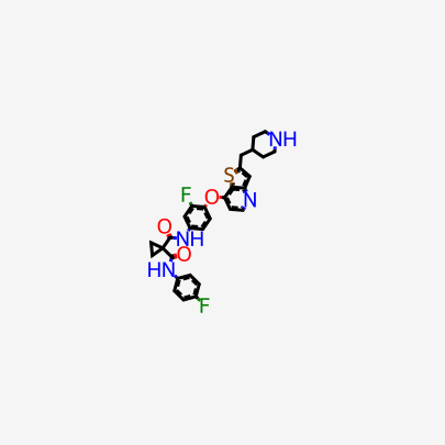 O=C(Nc1ccc(F)cc1)C1(C(=O)Nc2ccc(Oc3ccnc4cc(CC5CCNCC5)sc34)c(F)c2)CC1